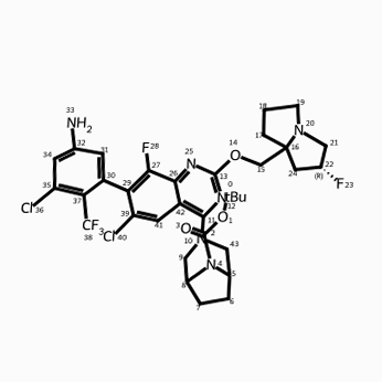 CC(C)(C)OC(=O)N1C2CCC1CN(c1nc(OCC34CCCN3C[C@H](F)C4)nc3c(F)c(-c4cc(N)cc(Cl)c4C(F)(F)F)c(Cl)cc13)C2